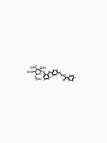 CC(=O)OC[C@H]1S[C@@H](Oc2ccccc2Cc2ccc(CCOC(=O)c3ccccc3)cc2)[C@H](OC(C)=O)[C@@H](OC(C)=O)[C@@H]1OC(C)=O